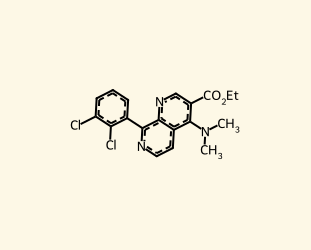 CCOC(=O)c1cnc2c(-c3cccc(Cl)c3Cl)nccc2c1N(C)C